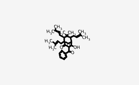 CC(C)=CCC1C2C(=O)C(CC=C(C)C)(C(=O)C(C(=O)c3ccccc3)C2O)C(CC=C(C)C)C1(C)C